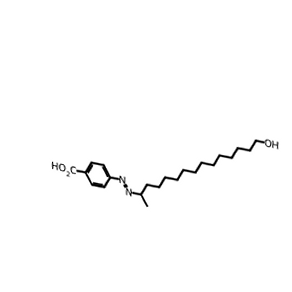 CC(CCCCCCCCCCCCCO)N=Nc1ccc(C(=O)O)cc1